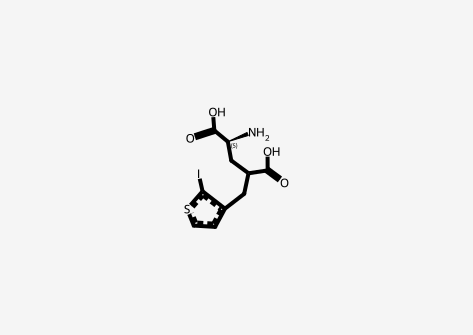 N[C@@H](CC(Cc1ccsc1I)C(=O)O)C(=O)O